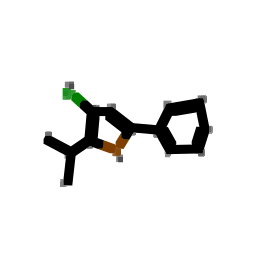 CC(C)c1sc(-c2ccccc2)cc1Br